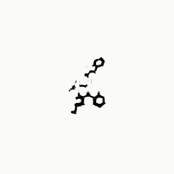 CCc1cc(C(=O)c2ccccc2Cl)c(-n2c(C)nnc2CNC(=O)c2[nH]c3ccccc3c2F)s1